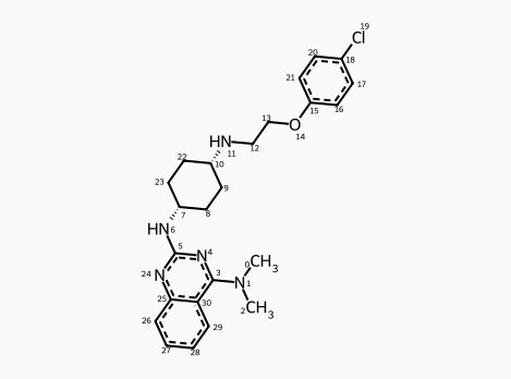 CN(C)c1nc(N[C@H]2CC[C@@H](NCCOc3ccc(Cl)cc3)CC2)nc2ccccc12